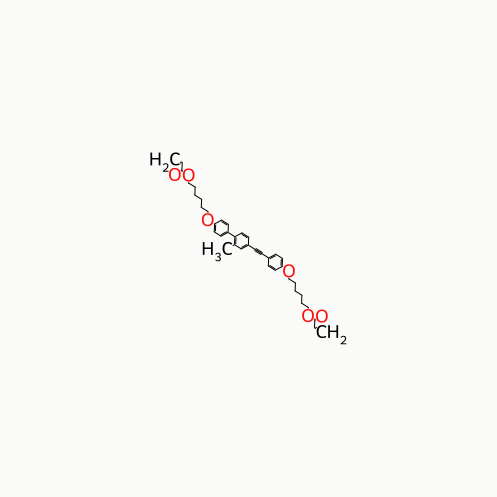 C=CC(=O)OCCCCCCOc1ccc(C#Cc2ccc(-c3ccc(OCCCCCCOC(=O)C=C)cc3)c(C)c2)cc1